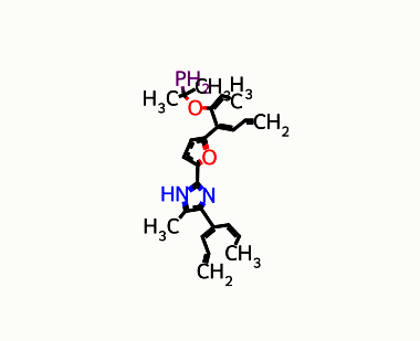 C=C/C=C(\C(=C/C)OC(C)(C)P)c1ccc(-c2nc(C(/C=C\C)=C/C=C)c(C)[nH]2)o1